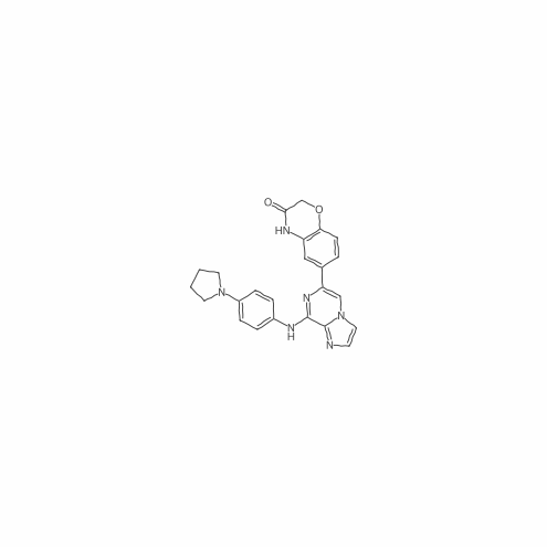 O=C1COc2ccc(-c3cn4ccnc4c(Nc4ccc(N5CCCC5)cc4)n3)cc2N1